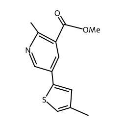 COC(=O)c1cc(-c2cc(C)cs2)cnc1C